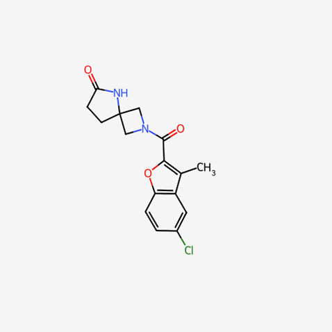 Cc1c(C(=O)N2CC3(CCC(=O)N3)C2)oc2ccc(Cl)cc12